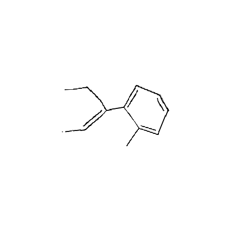 [CH2]C=C(CC)c1ccccc1C